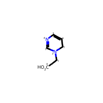 O=C(O)CN1C=NC=CC1